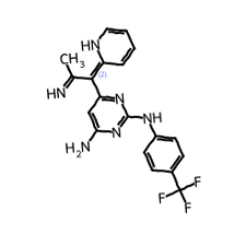 CC(=N)/C(=C1/C=CC=CN1)c1cc(N)nc(Nc2ccc(C(F)(F)F)cc2)n1